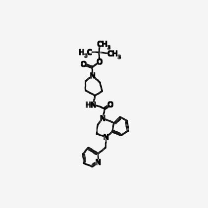 CC(C)(C)OC(=O)N1CCC(NC(=O)N2CCN(Cc3ccccn3)c3ccccc32)CC1